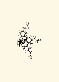 C=CCc1ccc(O)c(-c2cc(CC=C)cc(-c3cc(CC=C)ccc3O)c2O)c1